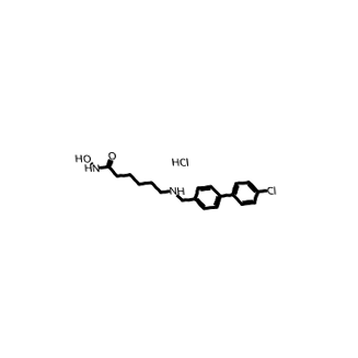 Cl.O=C(CCCCCNCc1ccc(-c2ccc(Cl)cc2)cc1)NO